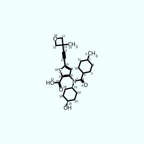 CC1CCC(C(=O)N(c2cc(C#CC3(C)COC3)sc2C(=O)O)[C@H]2CC[C@@H](O)CC2)CC1